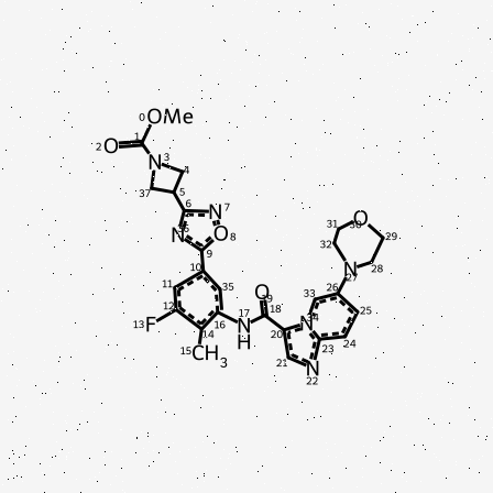 COC(=O)N1CC(c2noc(-c3cc(F)c(C)c(NC(=O)c4cnc5ccc(N6CCOCC6)cn45)c3)n2)C1